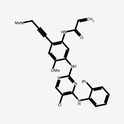 C=CC(=O)Nc1cc(Nc2ncc(Cl)c(Nc3ccccc3C(C)C)n2)c(OC)cc1C#CCNC